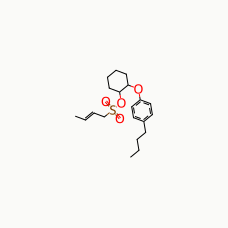 C/C=C/CS(=O)(=O)OC1CCCCC1Oc1ccc(CCCC)cc1